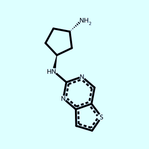 N[C@H]1CC[C@H](Nc2ncc3sccc3n2)C1